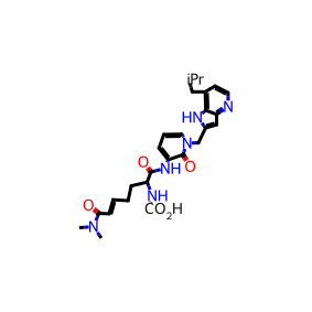 CC(C)Cc1ccnc2cc(Cn3cccc(NC(=O)C(CCC=CC(=O)N(C)C)NC(=O)O)c3=O)[nH]c12